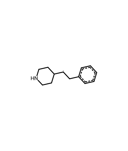 [CH](Cc1ccccc1)C1CCNCC1